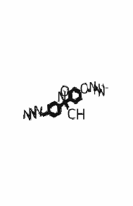 C#CC(N=O)(c1ccc(CN=[N+]=[N-])cc1)c1ccc(OCN=[N+]=[N-])cc1